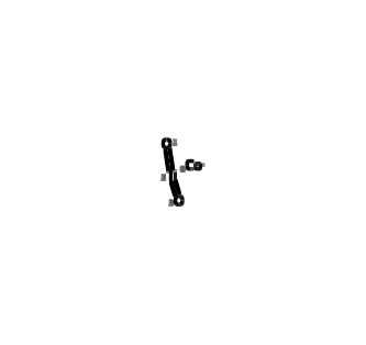 [Co].[O]=[Ti]=[O]